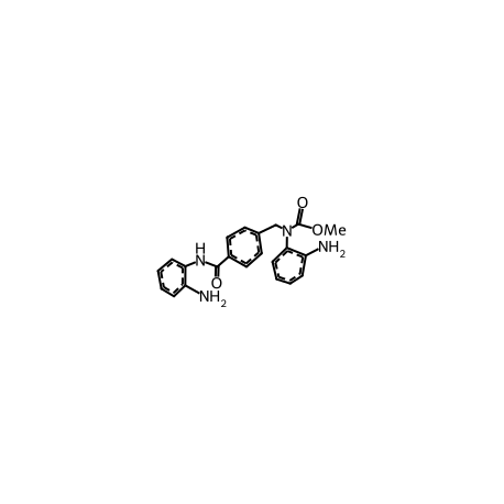 COC(=O)N(Cc1ccc(C(=O)Nc2ccccc2N)cc1)c1ccccc1N